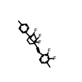 Cc1ccc(C23CCC(C#Cc4ccc(C)c(F)c4F)(CC2)C(F)(F)C3F)cc1